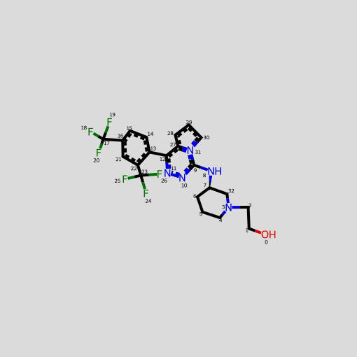 OCCN1CCC[C@@H](Nc2nnc(-c3ccc(C(F)(F)F)cc3C(F)(F)F)c3cccn23)C1